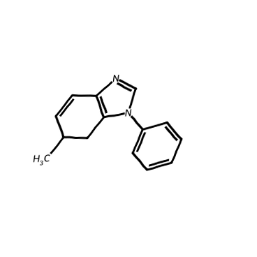 CC1C=Cc2ncn(-c3ccccc3)c2C1